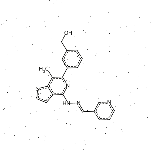 Cc1c(-c2cccc(CO)c2)nc(NN=Cc2cccnc2)c2ccsc12